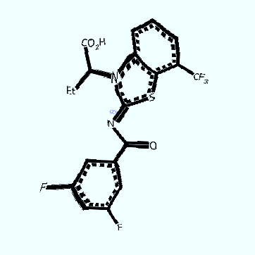 CCC(C(=O)O)n1/c(=N/C(=O)c2cc(F)cc(F)c2)sc2c(C(F)(F)F)cccc21